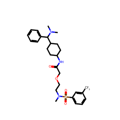 CN(C)C(c1ccccc1)C1CCC(NC(=O)COCCN(C)S(=O)(=O)c2cccc(C(F)(F)F)c2)CC1